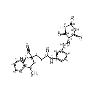 CC(CC(C)(C#N)CCC(=O)Nc1cccc(NN=C2C(=O)NC(=O)NC2=O)c1)c1ccccc1